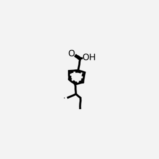 [CH2]C(CC)c1ccc(C(=O)O)cc1